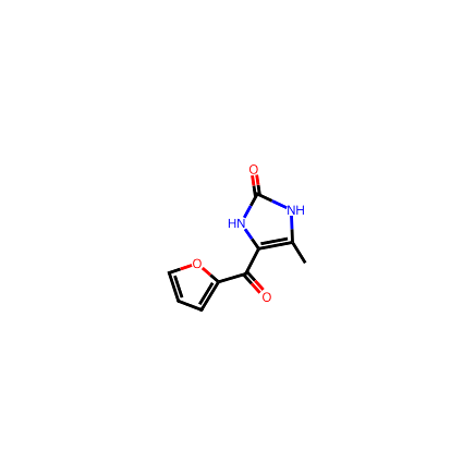 Cc1[nH]c(=O)[nH]c1C(=O)c1ccco1